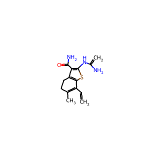 C=CC1=C(C)CCc2c1sc(NC(=C)N)c2C(N)=O